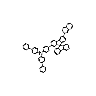 C1=c2ccccc2=CC(c2ccc3c(c2)-c2ccc(-c4ccc(N(c5ccc(-c6ccccc6)cc5)c5ccc(-c6ccccc6)cc5)cc4)cc2C32c3ccccc3-c3ccccc32)C1